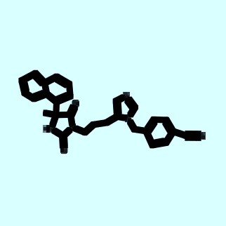 CC1(c2cccc3ccccc23)NC(=O)N(CCCc2cncn2Cc2ccc(C#N)cc2)C1=O